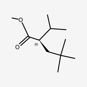 COC(=O)[C@H](CC(C)(C)C)C(C)C